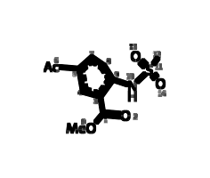 COC(=O)c1cc(C(C)=O)ccc1NS(C)(=O)=O